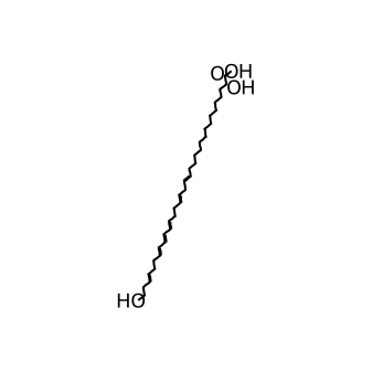 O=C(O)C(O)CCCCCCCCCCCCCC=CCC=CCCC=CC=CC=CCCC=CCCO